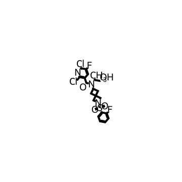 CC(CO)N(C(=O)c1cc(F)c(Cl)nc1Cl)C1CC2(C1)CN(S(=O)(=O)c1ccccc1F)C2